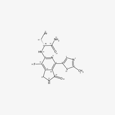 Cc1ncc(-c2nc(N[C@H](CC(C)C)C(N)=O)c(F)c3c2C(=O)NC3)s1